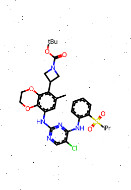 Cc1cc(Nc2ncc(Cl)c(Nc3ccccc3S(=O)(=O)C(C)C)n2)c2c(c1C1CN(C(=O)OC(C)(C)C)C1)OCCO2